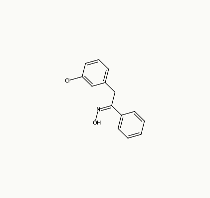 ON=C(Cc1cccc(Cl)c1)c1ccccc1